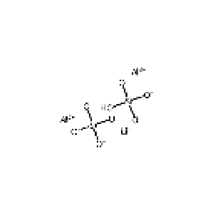 [Al+3].[Al+3].[Li+].[O-][Si]([O-])([O-])O.[O-][Si]([O-])([O-])[O-]